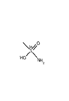 C[SH](N)(=O)O